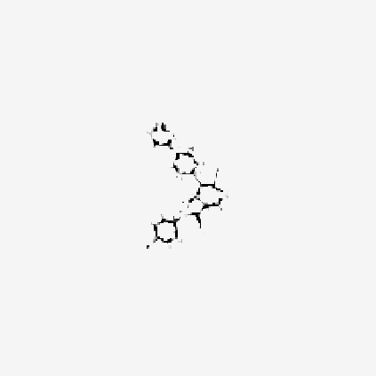 Cc1[nH]cc2c(=O)n(-c3ccc(Cl)cc3)nc-2c1-c1ccc(-c2cnn[nH]2)cc1